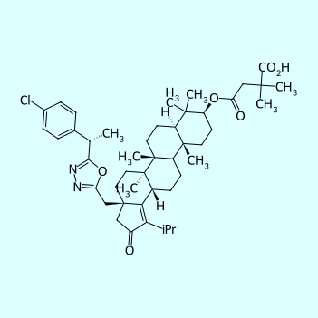 CC(C)C1=C2[C@H]3CCC4[C@@]5(C)CC[C@H](OC(=O)CC(C)(C)C(=O)O)C(C)(C)[C@@H]5CC[C@@]4(C)[C@]3(C)CC[C@@]2(Cc2nnc([C@@H](C)c3ccc(Cl)cc3)o2)CC1=O